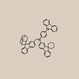 c1ccc2c(c1)-c1ccc(N(Cc3ccc4c(c3)C3(c5ccccc5-4)C4CCC5CC(C4)CC3C5)c3ccc(-n4c5ccccc5c5ccccc54)cc3)cc1C21CCCCC1